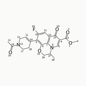 COC(=O)c1cn2c3c(c(C4=CCN(C(C)=O)CC4)c(F)cc3c1=O)OCC2C